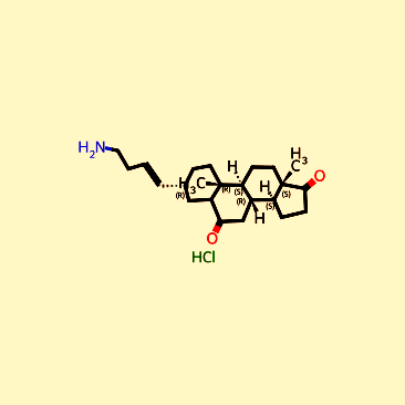 C[C@]12CC[C@@H](C=CCCN)CC1C(=O)C[C@@H]1[C@@H]2CC[C@]2(C)C(=O)CC[C@@H]12.Cl